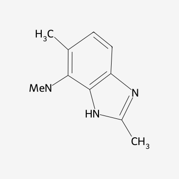 CNc1c(C)ccc2nc(C)[nH]c12